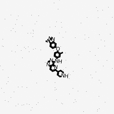 Cc1cc(Nc2ncnc3ccc(C4=CCNCC4)nc23)ccc1Oc1ccc2c(c1)nnn2C